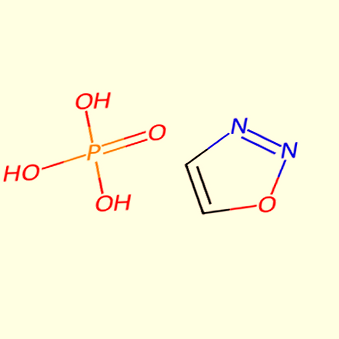 O=P(O)(O)O.c1conn1